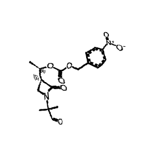 C[C@@H](OC(=O)OCc1ccc([N+](=O)[O-])cc1)[C@@H]1CN(C(C)(C)C=O)C1=O